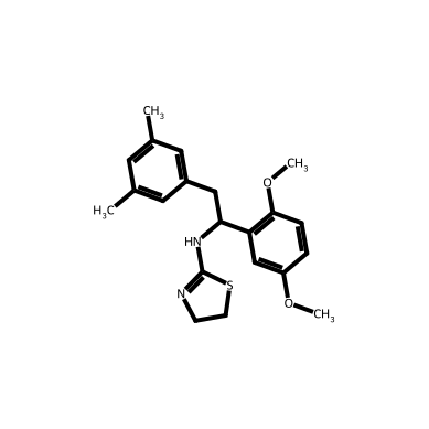 COc1ccc(OC)c(C(Cc2cc(C)cc(C)c2)NC2=NCCS2)c1